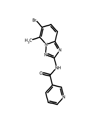 Cc1c(Br)ccc2nc(NC(=O)c3cccnc3)nn12